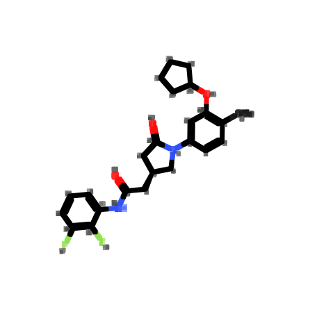 COc1ccc(N2C[C@@H](CC(=O)Nc3cccc(F)c3F)CC2=O)cc1OC1CCCC1